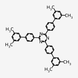 Cc1cc(C)cc(-c2ccc(-c3nc(-c4ccc(-c5cc(C)cc(C)c5)cc4)nc(-c4ccc(-c5cc(C)cc(C)c5)cc4)n3)cc2)c1